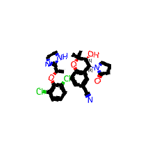 CC(Oc1c(Cl)cccc1Cl)C1=NCCN1.CC1(C)Oc2ccc(C#N)cc2[C@@H](N2CCCC2=O)[C@@H]1O